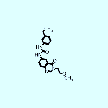 CCc1cccc(NC(=O)Nc2ccc3ncn(CCOC)c(=O)c3c2)c1